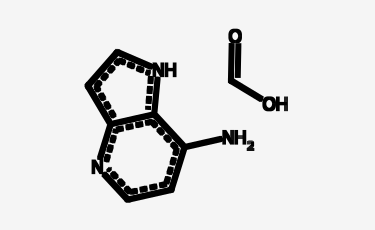 Nc1ccnc2cc[nH]c12.O=CO